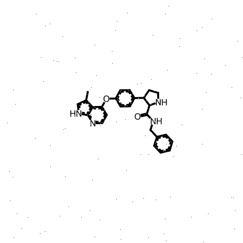 Cc1c[nH]c2nccc(Oc3ccc(C4CCNC4C(=O)NCc4ccccc4)cc3)c12